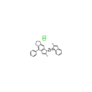 CC1=Cc2ccccc2[CH]1[Zr+2][CH]1C(C)=Cc2c1cc1c(c2-c2ccccc2)CCC1.[Cl-].[Cl-]